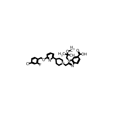 COC(C)(C)Cn1c(CN2CCC(c3cccc(OCc4ccc(Cl)cc4F)n3)CC2)nc2ccc(C(=O)O)cc21